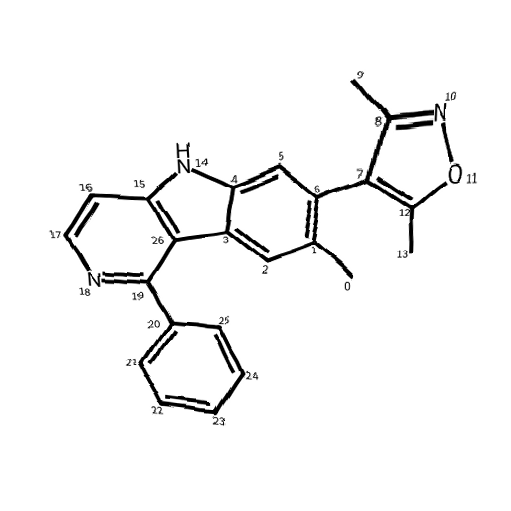 Cc1cc2c(cc1-c1c(C)noc1C)[nH]c1ccnc(-c3ccccc3)c12